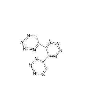 c1nnnnc1-c1nnnnc1-c1cnnnn1